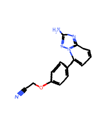 N#CCOc1ccc(-c2cccc3nc(N)nn23)cc1